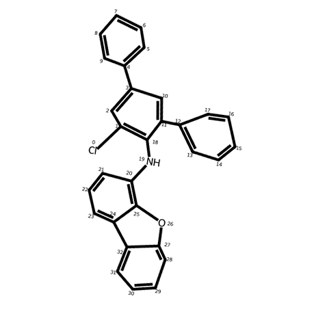 Clc1cc(-c2ccccc2)cc(-c2ccccc2)c1Nc1cccc2c1oc1ccccc12